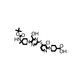 CC1(NC(=O)OC(C)(C)C)CCN(c2ncc(Sc3ccnc(N4CCC(C(=O)O)CC4)c3Cl)nc2CO)CC1